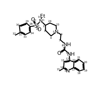 CCN(C1CCN(CCNC(=O)Nc2cc(C)nc3ccccc23)CC1)S(=O)(=O)c1ccc(C)cc1